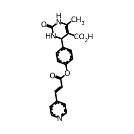 CC1=C(C(=O)O)C(c2ccc(OC(=O)C=Cc3ccncc3)cc2)NC(=O)N1